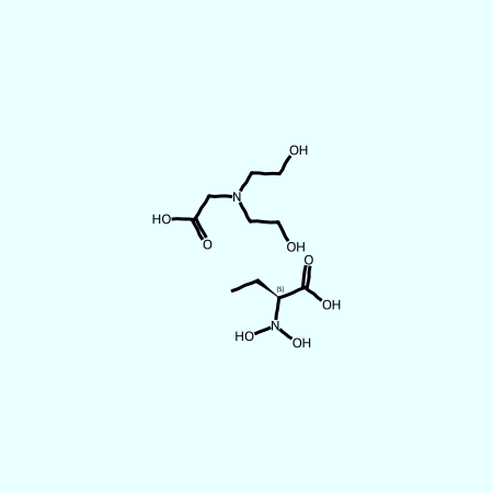 CC[C@@H](C(=O)O)N(O)O.O=C(O)CN(CCO)CCO